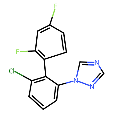 Fc1ccc(-c2c(Cl)cccc2-n2cncn2)c(F)c1